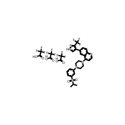 CC(C)S(=O)(=O)c1cccc(N2CCN(c3ccnc4ccc(-c5c[nH]nc5C(F)(F)F)cc34)CC2)c1.O=C(O)C(F)(F)F.O=C(O)C(F)(F)F.O=C(O)C(F)(F)F